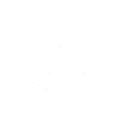 CC(C)n1cnc2cc(-c3ccc4c(c3)N([C@H]3C[C@@H](N5CCCC(C)(F)C5)C3)C(=O)C43CCN(C4COC4)CC3)nc(Cl)c21